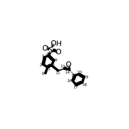 Cc1ccc(S(=O)(=O)O)cc1C[C@H]1O[C@@H]1c1ccccc1